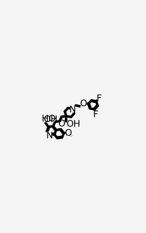 COc1ccc2ncc(CO)c(C(O)CCC3(C(=O)O)CCN(CCOc4cc(F)cc(F)c4)CC3)c2c1